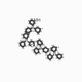 [HH].c1ccc(P(c2ccccc2)c2ccccc2)cc1.c1ccc(P(c2ccccc2)c2ccccc2)cc1.c1ccc(P(c2ccccc2)c2ccccc2)cc1.c1ccc(P(c2ccccc2)c2ccccc2)cc1